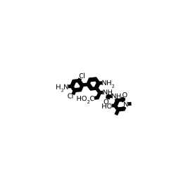 Cc1cn(C)c(=O)c(NC(=O)NC(CC(=O)O)c2cc(-c3cc(Cl)c(N)cc3Cl)ccc2N)c1O